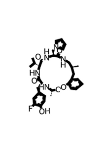 CC(C)[C@H]1NC(=O)[C@@H](Cc2ccc(O)c(F)c2)N[C@@H](C)COc2ccccc2C[C@H](C)CNC(=O)[C@H](Cn2cccc2)NC1=O